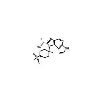 C[C@@H](O)c1nc2cnc3[nH]ccc3c2n1C1(C)CCN(S(C)(=O)=O)CC1